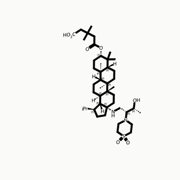 CC(C)[C@@H]1CC[C@]2(NC[C@H]([C@@H](C)O)N3CCS(=O)(=O)CC3)CC[C@]3(C)[C@H](CC[C@@H]4[C@@]5(C)CC[C@H](OC(=O)CC(C)(C)CC(=O)O)C(C)(C)[C@@H]5CC[C@]43C)[C@@H]12